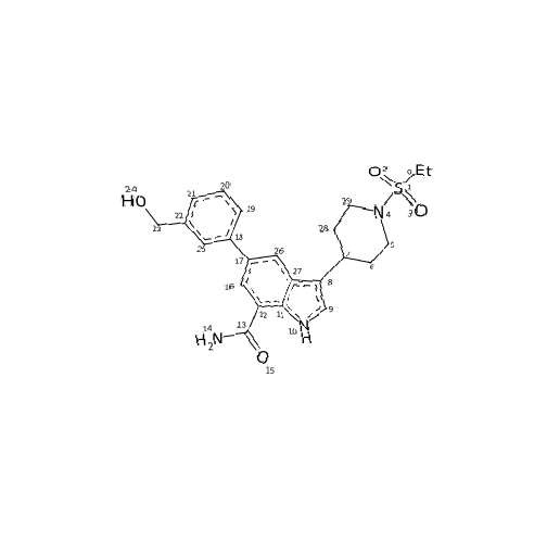 CCS(=O)(=O)N1CCC(c2c[nH]c3c(C(N)=O)cc(-c4cccc(CO)c4)cc23)CC1